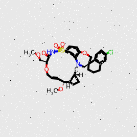 COC[C@@H]1OC/C=C/[C@@H](OC)[C@@H]2CC[C@H]2CN2C[C@@]3(CCCc4cc(Cl)ccc43)COc3ccc(cc32)S(=O)(=O)NC1=O